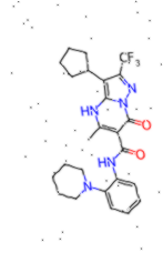 Cc1[nH]c2c(C3CCCC3)c(C(F)(F)F)nn2c(=O)c1C(=O)Nc1ccccc1N1CCCCC1